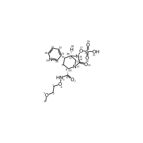 COCCONC(=O)[C@@H]1CC[C@@H]2CN1C(=O)N2OS(=O)(=O)O.c1ccncc1